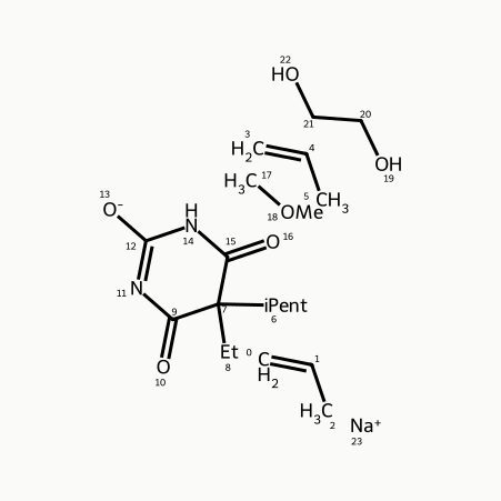 C=CC.C=CC.CCCC(C)C1(CC)C(=O)N=C([O-])NC1=O.COC.OCCO.[Na+]